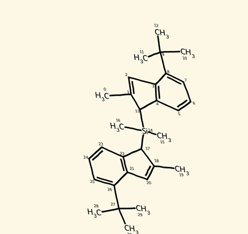 CC1=Cc2c(cccc2C(C)(C)C)C1[Si](C)(C)C1C(C)=Cc2c1cccc2C(C)(C)C